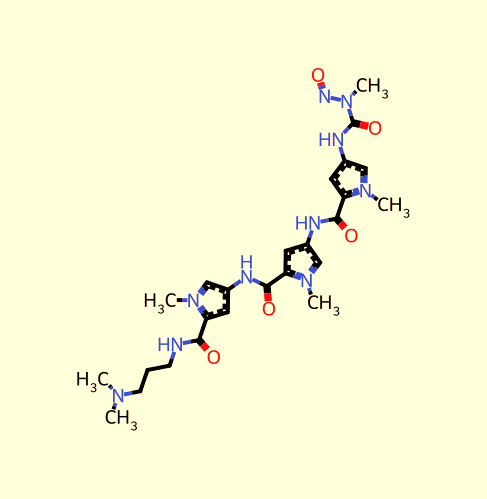 CN(C)CCCNC(=O)c1cc(NC(=O)c2cc(NC(=O)c3cc(NC(=O)N(C)N=O)cn3C)cn2C)cn1C